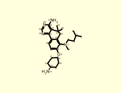 CC(C)CCN(C)c1c(O[C@H]2CC[C@H](N)CC2)ccc2c1CC(C)(C)c1c(N)ncnc1-2